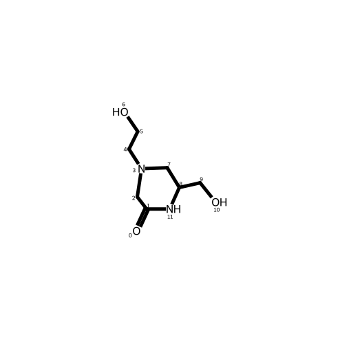 O=C1CN(CCO)CC(CO)N1